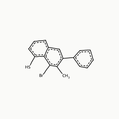 Cc1c(-c2ccccc2)cc2cccc(S)c2c1Br